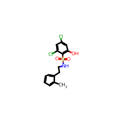 Cc1ccccc1CCNS(=O)(=O)c1c(O)cc(Cl)cc1Cl